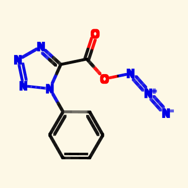 [N-]=[N+]=NOC(=O)c1nnnn1-c1ccccc1